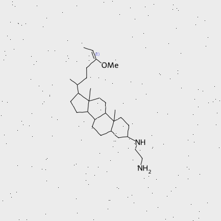 C/C=C(\CCC(C)C1CCC2C3CCC4CC(NCCN)CCC4(C)C3CCC12C)OC